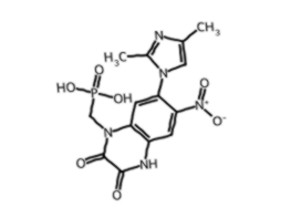 Cc1cn(-c2cc3c(cc2[N+](=O)[O-])[nH]c(=O)c(=O)n3CP(=O)(O)O)c(C)n1